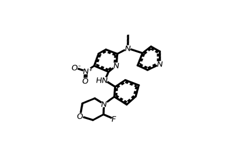 CN(c1ccncc1)c1ccc([N+](=O)[O-])c(Nc2ccccc2N2CCOCC2F)n1